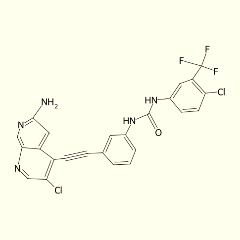 Nc1cc2c(C#Cc3cccc(NC(=O)Nc4ccc(Cl)c(C(F)(F)F)c4)c3)c(Cl)cnc2cn1